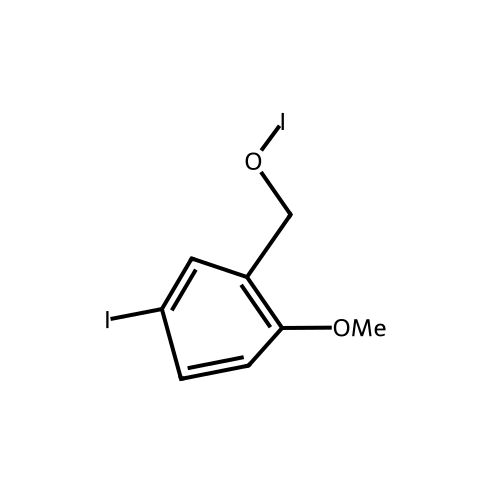 COc1ccc(I)cc1COI